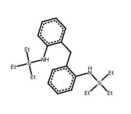 CC[Si](CC)(CC)Nc1ccccc1Cc1ccccc1N[Si](CC)(CC)CC